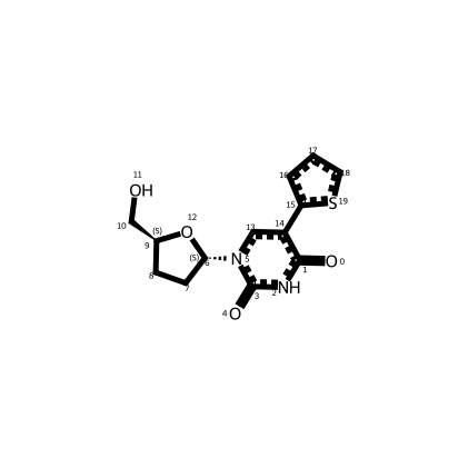 O=c1[nH]c(=O)n([C@@H]2CC[C@@H](CO)O2)cc1-c1cccs1